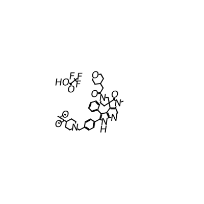 CN1C(=O)C2(CCN(C(=O)CC3CCOCC3)C2)c2c1cnc1[nH]c(-c3ccc(CN4CCC(S(C)(=O)=O)CC4)cc3)c(-c3ccccc3)c21.O=C(O)C(F)(F)F